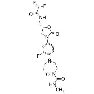 CNC(=O)N1CCN(c2ccc(N3C[C@H](CNC(=O)C(F)F)OC3=O)cc2F)CCO1